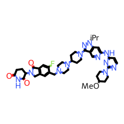 COC1CCN(c2nccc(Nc3cc4c(cn3)c(N3CCC(N5CCN(Cc6cc7c(cc6F)C(=O)N(C6CCC(=O)NC6=O)C7)CC5)CC3)nn4C(C)C)n2)CC1